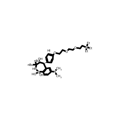 CCCCC1(CCCC)NS(O)(O)c2ccc(N(C)C)cc2[C@@H](c2ccc(OCCOCCOCC[N+](CC)(CC)CC)cc2)[C@H]1O.I